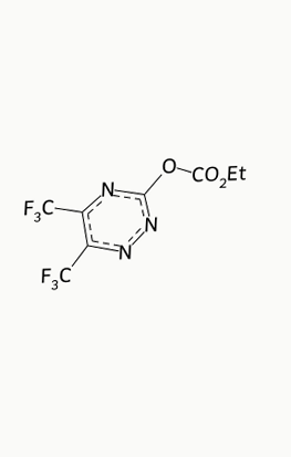 CCOC(=O)Oc1nnc(C(F)(F)F)c(C(F)(F)F)n1